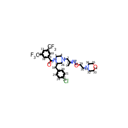 C/C(CN1CCN(C(=O)c2cc(C(F)(F)F)cc(C(F)(F)F)c2)C(Cc2ccc(Cl)cc2)C1)=N\OCCN1CCOCC1